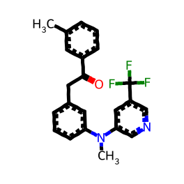 Cc1cccc(C(=O)Cc2cccc(N(C)c3cncc(C(F)(F)F)c3)c2)c1